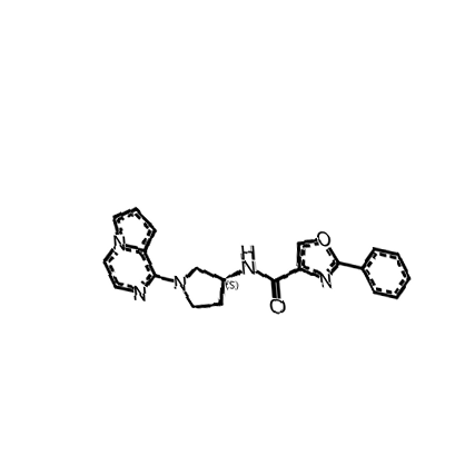 O=C(N[C@H]1CCN(c2nccn3cccc23)C1)c1coc(-c2ccccc2)n1